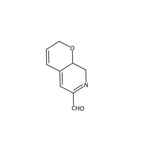 O=CC1=NCC2OCC=CC2=C1